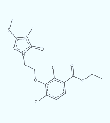 CCOC(=O)c1ccc(Cl)c(OCCn2nc(SC)n(C)c2=O)c1Cl